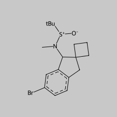 CN(C1c2cc(Br)ccc2CC12CCC2)[S+]([O-])C(C)(C)C